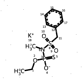 CCOP([O-])(=S)N(C)S(=O)(=O)Cc1ccccc1.[K+]